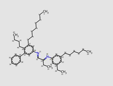 CCCCCCCCc1cc(N=CC(CC)=Nc2cc(CC)cc(CCCCCC)c2)cc(-c2ccccc2)c1CCCC